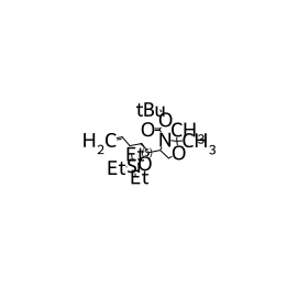 C=CCC[C@H](O[Si](CC)(CC)CC)C1COC(C)(C)N1C(=O)OC(C)(C)C